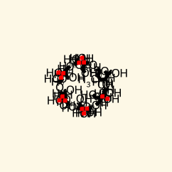 C[C@H]1[C@H]2O[C@H]3[C@H](O)[C@@H](O)[C@@H](O[C@H]4[C@H](O)[C@@H](O)[C@@H](O[C@H]5[C@H](O)[C@@H](O)[C@@H](O[C@H]6[C@H](O)[C@@H](O)[C@@H](O[C@H]7[C@H](O)[C@@H](O)[C@@H](O[C@@H]([C@@H]1O)[C@@H](CO)O2)O[C@@H]7CO)O[C@@H]6CO)O[C@@H]5CO)O[C@@H]4CO)O[C@@H]3CO